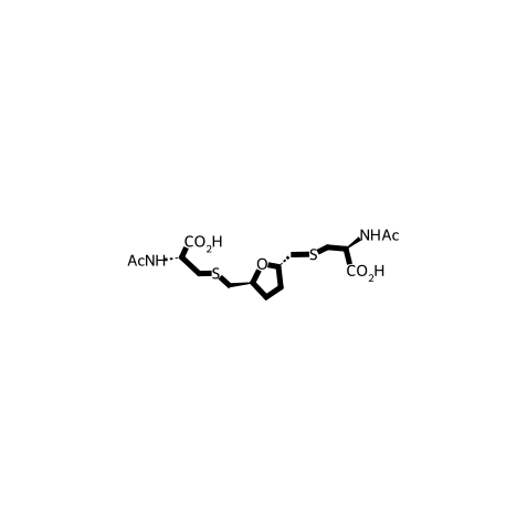 CC(=O)N[C@@H](CSC[C@@H]1CC[C@@H](CSC[C@@H](NC(C)=O)C(=O)O)O1)C(=O)O